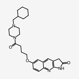 O=C1Cc2cc3cc(OCCCC(=O)N4CCN(CC5CCCCC5)CC4)ccc3nc2N1